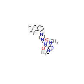 Cc1cccc(N2CCN(Cn3c(=O)c4c(ncn4C)n(C)c3=O)CC2)c1C